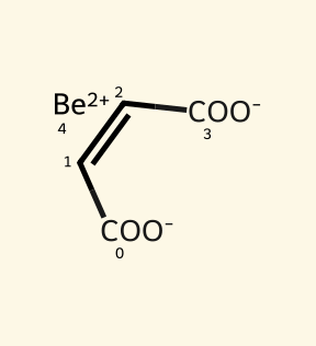 O=C([O-])/C=C\C(=O)[O-].[Be+2]